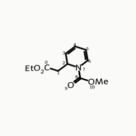 CCOC(=O)CC1C=CC=CN1C(=O)OC